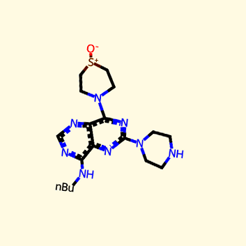 CCCCNc1ncnc2c(N3CC[S+]([O-])CC3)nc(N3CCNCC3)nc12